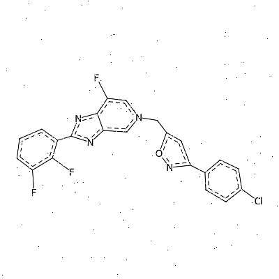 Fc1cn(Cc2cc(-c3ccc(Cl)cc3)no2)cc2nc(-c3cccc(F)c3F)nc1-2